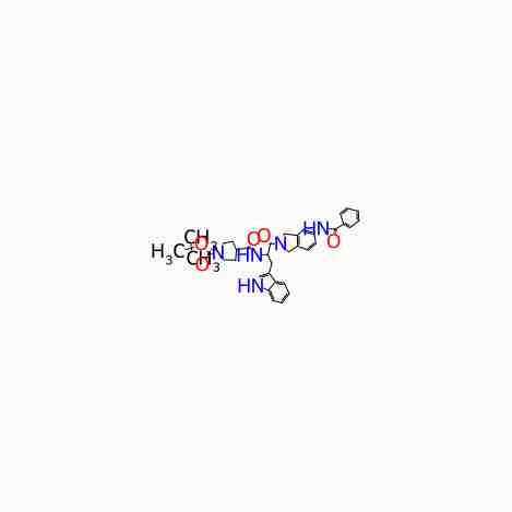 CC(C)(C)OC(=O)N1CCC(C(=O)NC(Cc2c[nH]c3ccccc23)C(=O)N2Cc3ccc(NC(=O)c4ccccc4)cc3C2)CC1